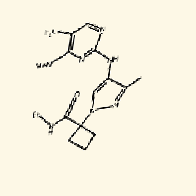 CCNC(=O)C1(n2cc(Nc3ncc(C(F)(F)F)c(NC)n3)c(C)n2)CCC1